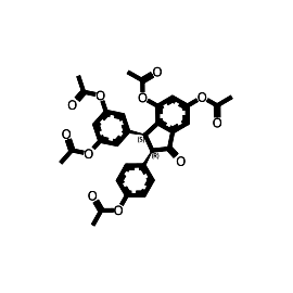 CC(=O)Oc1ccc([C@@H]2C(=O)c3cc(OC(C)=O)cc(OC(C)=O)c3[C@@H]2c2cc(OC(C)=O)cc(OC(C)=O)c2)cc1